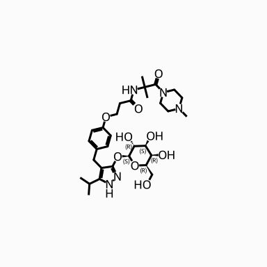 CC(C)c1[nH]nc(O[C@@H]2O[C@H](CO)[C@H](O)[C@H](O)[C@H]2O)c1Cc1ccc(OCCC(=O)NC(C)(C)C(=O)N2CCN(C)CC2)cc1